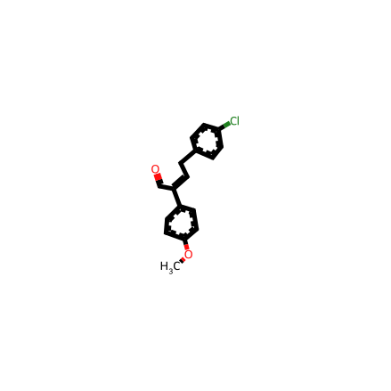 COc1ccc(C(C=O)=CCc2ccc(Cl)cc2)cc1